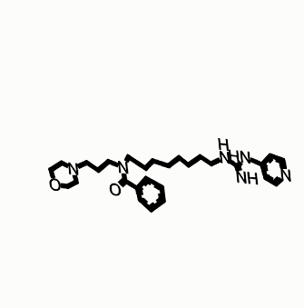 N=C(NCCCCCCCCN(CCCN1CCOCC1)C(=O)c1ccccc1)Nc1ccncc1